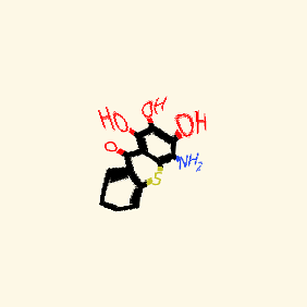 Nc1c(O)c(O)c(O)c2c(=O)c3ccccc3sc12